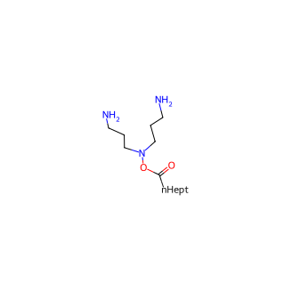 CCCCCCCC(=O)ON(CCCN)CCCN